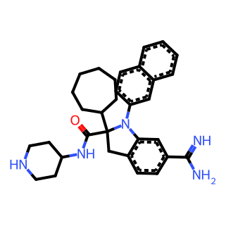 N=C(N)c1ccc2c(c1)N(c1ccc3ccccc3c1)C(C(=O)NC1CCNCC1)(C1CCCCCC1)C2